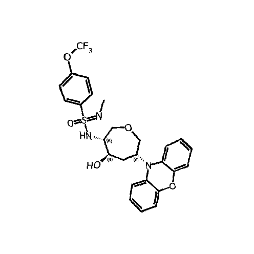 CN=S(=O)(N[C@@H]1COC[C@H](N2c3ccccc3Oc3ccccc32)C[C@H]1O)c1ccc(OC(F)(F)F)cc1